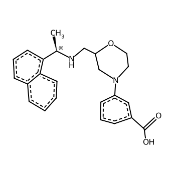 C[C@@H](NCC1CN(c2cccc(C(=O)O)c2)CCO1)c1cccc2ccccc12